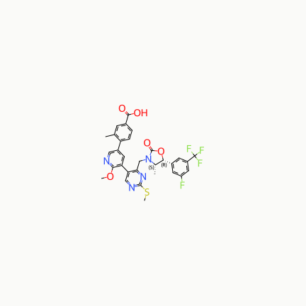 COc1ncc(-c2ccc(C(=O)O)cc2C)cc1-c1cnc(SC)nc1CN1C(=O)O[C@H](c2cc(F)cc(C(F)(F)F)c2)[C@@H]1C